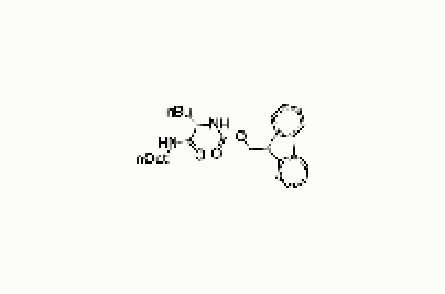 CCCCCCCCNC(=O)[C@H](CCCC)NC(=O)OCC1c2ccccc2-c2ccccc21